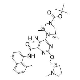 Cc1cccc2cccc(NC(=O)c3nc(OC[C@@H]4CCCN4C)nc(N4[C@@H](C)CN(C(=O)OC(C)(C)C)C[C@@H]4C)c3N)c12